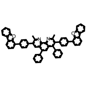 Cc1nc2c(cc1-c1ccc(-c3cccc4c3oc3ccccc34)cc1)c(-c1ccccc1)cc1c(-c3ccccc3)c(-c3ccc(-c4cccc5c4oc4ccccc45)cc3)c(C)nc12